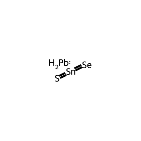 [PbH2].[S]=[Sn]=[Se]